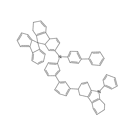 C1=CC2=C(CC1)C1(c3ccccc3-c3ccccc31)C1C=C(N(c3ccc(-c4ccccc4)cc3)c3cccc(-c4cccc(C5C=Cc6c(c7c(n6-c6ccccc6)CCC=C7)C5)c4)c3)C=CC21